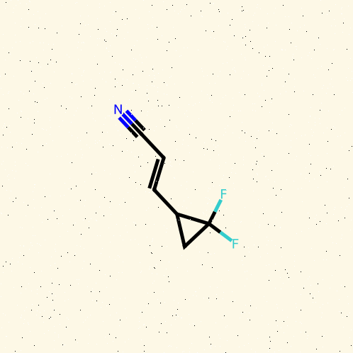 N#CC=CC1CC1(F)F